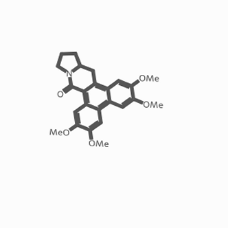 COc1cc2c3c(c4cc(OC)c(OC)cc4c2cc1OC)C(=O)N1CCCC1C3